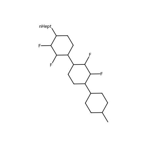 CCCCCCCC1CCC(C2CCC(C3CCC(C)CC3)C(F)C2F)C(F)C1F